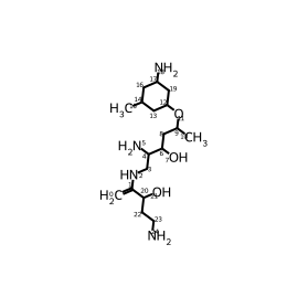 C=C(NCC(N)C(O)CC(C)OC1CC(C)CC(N)C1)C(O)CCN